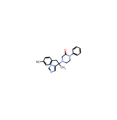 CC(Cc1ccc(C#N)cc1)(c1cnc[nH]1)N1CCN(c2ccccc2)C(=O)C1